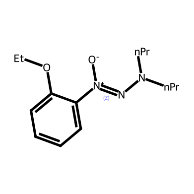 CCCN(CCC)/N=[N+](\[O-])c1ccccc1OCC